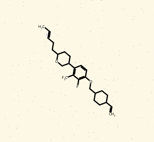 C=CC1CCC(COc2ccc(C3CCC(CC/C=C/C)OC3)c(C(F)(F)F)c2F)CC1